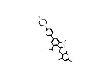 Cc1cc(C)c(Cc2nn(C(C)C)c3cc(-c4ccc(N5CCN(C)CC5)nc4)cc(C(N)=O)c23)c(=O)[nH]1